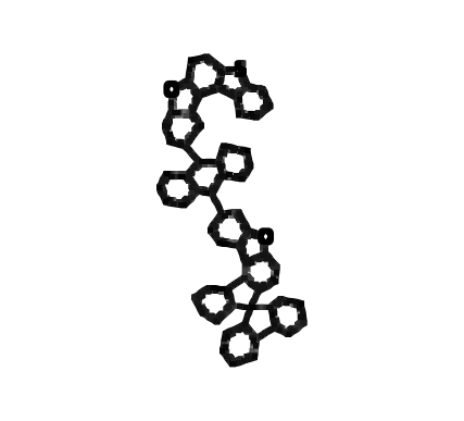 c1ccc2c(c1)-c1ccccc1C21c2ccccc2-c2c1ccc1oc3cc(-c4c5ccccc5c(-c5ccc6oc7ccc8sc9ccccc9c8c7c6c5)c5ccccc45)ccc3c21